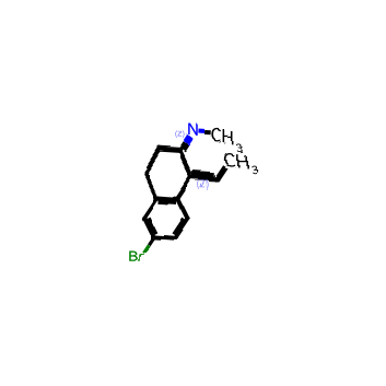 C/C=C1\C(=N/C)CCc2cc(Br)ccc21